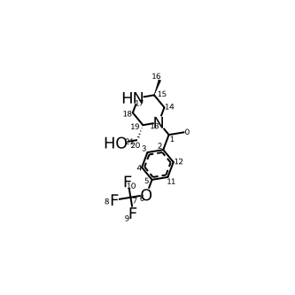 CC(c1ccc(OC(F)(F)F)cc1)N1C[C@H](C)NC[C@H]1CO